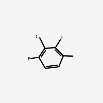 [CH2]c1ccc(F)c(Cl)c1F